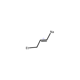 CCC/C=[CH]/[Na]